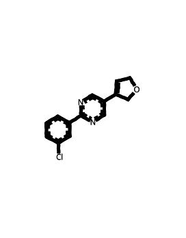 Clc1cccc(-c2ncc(C3=CCOC3)cn2)c1